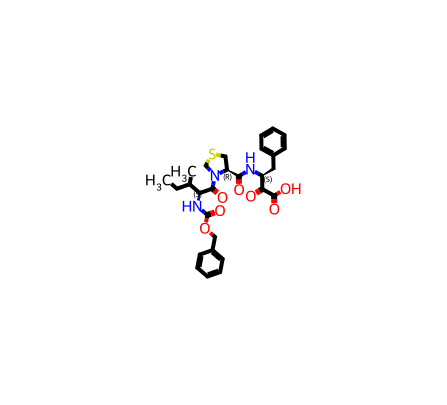 CCC(C)[C@H](NC(=O)OCc1ccccc1)C(=O)N1CSC[C@H]1C(=O)N[C@@H](Cc1ccccc1)C(=O)C(=O)O